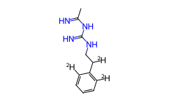 [2H]c1cccc([2H])c1C([2H])CNC(=N)NC(C)=N